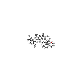 CCC[C@@H](CCO[Si](c1ccccc1)(c1ccccc1)C(C)(C)C)Nc1nc(NC(=O)OC)nc2c(Br)nn(Cc3cc(C(=O)OC)cnc3OC)c12